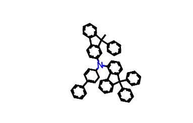 CC1(c2ccccc2)c2ccccc2-c2ccc(N(c3cccc4c3-c3ccccc3C4(c3ccccc3)c3ccccc3)C3C=CC(c4ccccc4)=CC3)cc21